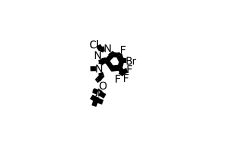 CN(CCO[Si](C)(C)C(C)(C)C)c1nc(Cl)nc2c(F)c(Br)c(C(F)(F)F)cc12